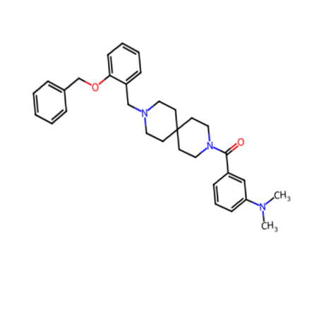 CN(C)c1cccc(C(=O)N2CCC3(CCN(Cc4ccccc4OCc4ccccc4)CC3)CC2)c1